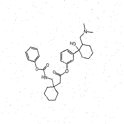 CN(C)CC1CCCCC1(O)c1cccc(OC(=O)CC2(CNC(=O)Oc3ccccc3)CCCCC2)c1